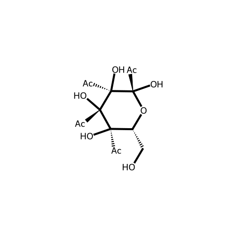 CC(=O)[C@@]1(O)[C@](O)(C(C)=O)[C@@](O)(C(C)=O)O[C@H](CO)[C@]1(O)C(C)=O